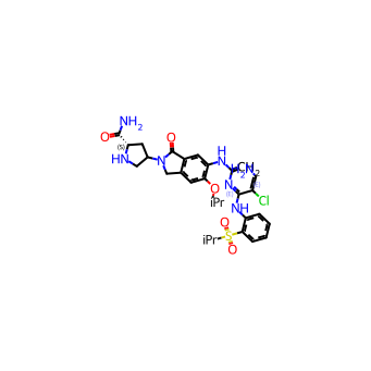 C=C(/N=C(Nc1ccccc1S(=O)(=O)C(C)C)\C(Cl)=C/N)Nc1cc2c(cc1OC(C)C)CN(C1CN[C@H](C(N)=O)C1)C2=O